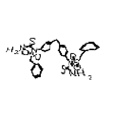 NC(=S)N(c1ccc(Cc2ccc(N(C(N)=S)S(=O)(=O)Cc3ccccc3)cc2)cc1)S(=O)(=O)Cc1ccccc1